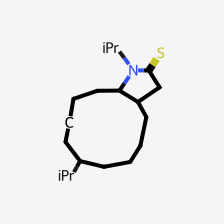 CC(C)C1CCCCC2CC(=S)N(C(C)C)C2CCCC1